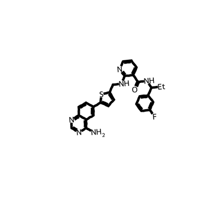 CCC(NC(=O)c1cccnc1NCc1ccc(-c2ccc3ncnc(N)c3c2)s1)c1cccc(F)c1